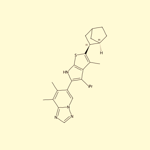 Cc1c(-c2[nH]c3sc([C@H]4CC5CC[C@@H]4C5)c(C)c3c2C(C)C)cn2ncnc2c1C